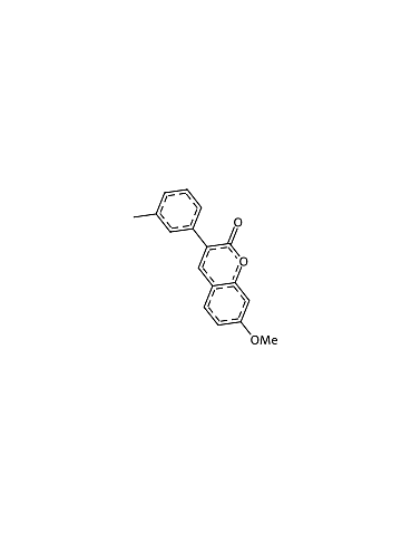 COc1ccc2cc(-c3cccc(C)c3)c(=O)oc2c1